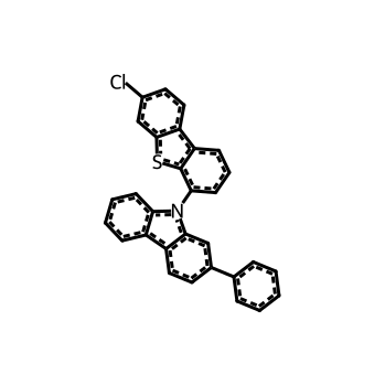 Clc1ccc2c(c1)sc1c(-n3c4ccccc4c4ccc(-c5ccccc5)cc43)cccc12